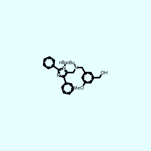 CCCCN(Cc1cc(CO)cc(OC)c1)Cc1c(-c2ccccc2)nc(-c2ccccc2)n1CCCC